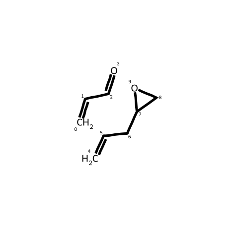 C=CC=O.C=CCC1CO1